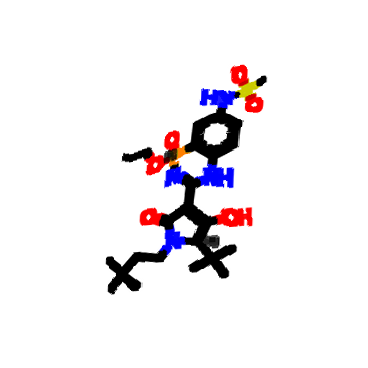 CCO[P@]1(=O)N=C(C2=C(O)[C@@H](C(C)(C)C)N(CCC(C)(C)C)C2=O)Nc2ccc(NS(C)(=O)=O)cc21